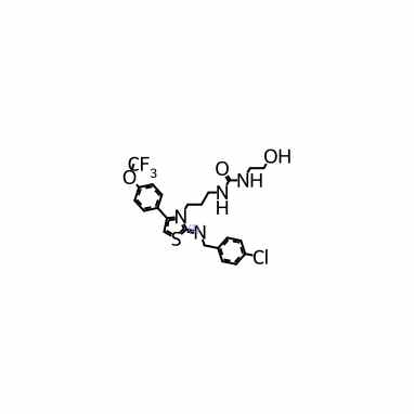 O=C(NCCO)NCCCn1c(-c2ccc(OC(F)(F)F)cc2)cs/c1=N\Cc1ccc(Cl)cc1